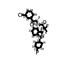 C[C@H](NC(=O)C(C)(F)F)[C@H](Oc1ccc2c(cnn2-c2ccc(F)cc2)c1)c1cccc(Cl)c1